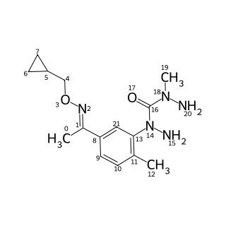 C/C(=N\OCC1CC1)c1ccc(C)c(N(N)C(=O)N(C)N)c1